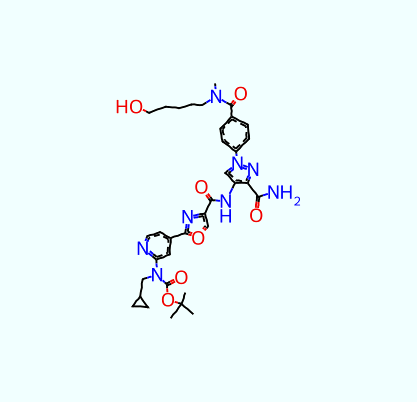 CN(CCCCCO)C(=O)c1ccc(-n2cc(NC(=O)c3coc(-c4ccnc(N(CC5CC5)C(=O)OC(C)(C)C)c4)n3)c(C(N)=O)n2)cc1